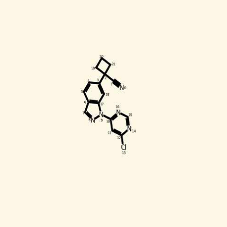 N#CC1(c2ccc3cnn(-c4cc(Cl)ncn4)c3c2)CCC1